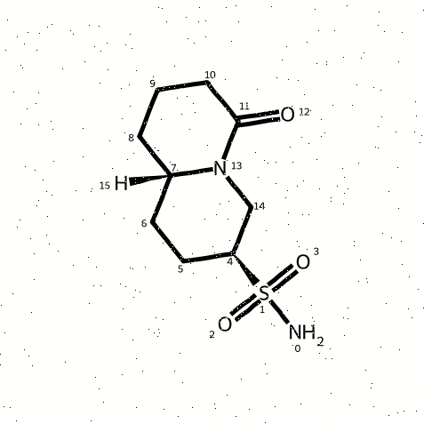 NS(=O)(=O)[C@H]1CC[C@@H]2CCCC(=O)N2C1